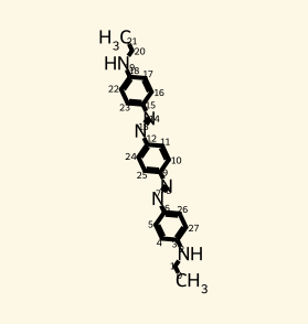 CCNc1ccc(N=Nc2ccc(N=Nc3ccc(NCC)cc3)cc2)cc1